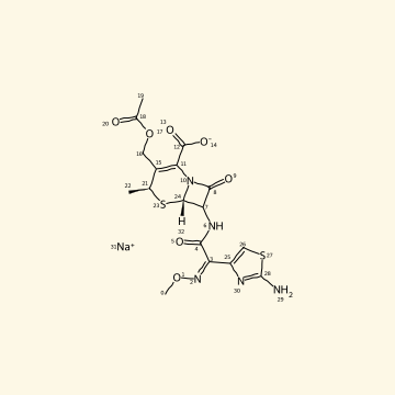 CO/N=C(\C(=O)NC1C(=O)N2C(C(=O)[O-])=C(COC(C)=O)[C@H](C)S[C@@H]12)c1csc(N)n1.[Na+]